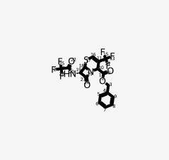 O=C(OCc1ccccc1)C1C(C(F)(F)F)=CSC2[C@@H](NC(=O)C(F)(F)F)C(=O)N12